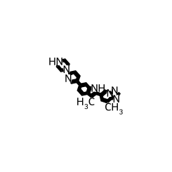 Cc1c(-c2cc(C)c3ncnn3c2)[nH]c2cc(-c3ccc(N4CCNCC4)nc3)ccc12